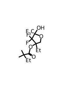 CCC(C)(C)C(=O)OC1(CC)COC(O)(C(F)(F)F)C1(F)F